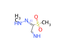 CN/N=C(\C=N)S(C)(=O)=O